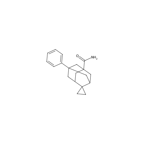 NC(=O)C12CC3CC(c4ccccc4)(CC(C1)C31CC1)C2